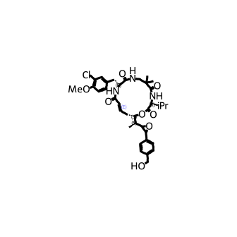 COc1ccc(C[C@H]2NC(=O)/C=C/C[C@@H]([C@H](C)C3OC3c3ccc(CO)cc3)OC(=O)[C@H](C(C)C)NC(=O)C(C)(C)CNC2=O)cc1Cl